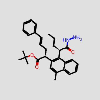 CCC[C@@H](C(=O)NN)c1c([C@H](C/C=C/c2ccccc2)C(=O)OC(C)(C)C)cc(C)c2ccccc12